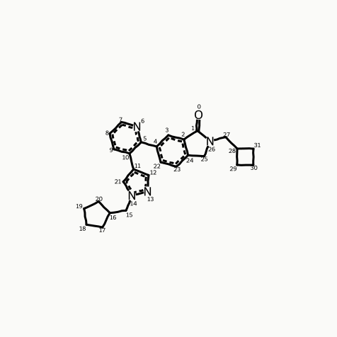 O=C1c2cc(-c3ncccc3-c3cnn(CC4CCCC4)c3)ccc2CN1CC1CCC1